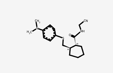 CN(C)c1ccc(SC[C@@H]2CCCC[C@H]2C(=O)NCC#N)cc1